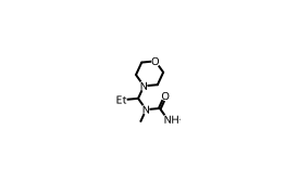 CCC(N1CCOCC1)N(C)C([NH])=O